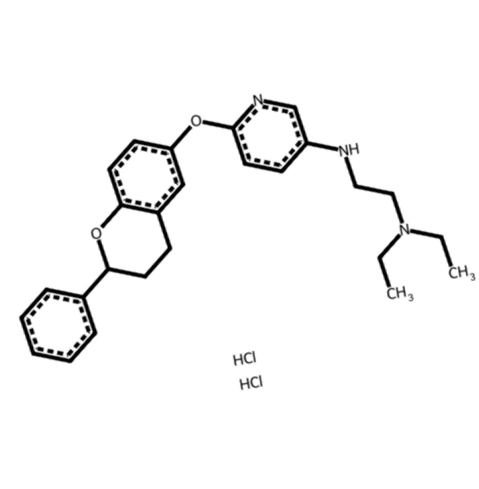 CCN(CC)CCNc1ccc(Oc2ccc3c(c2)CCC(c2ccccc2)O3)nc1.Cl.Cl